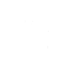 C=C(Cl)CC(Br)C(=O)O